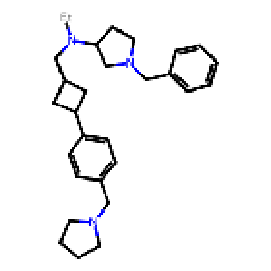 CCN(CC1CC(c2ccc(CN3CCCC3)cc2)C1)C1CCN(Cc2ccccc2)C1